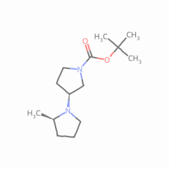 C[C@@H]1CCCN1[C@H]1CCN(C(=O)OC(C)(C)C)C1